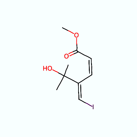 COC(=O)/C=C\C(=C/I)C(C)(C)O